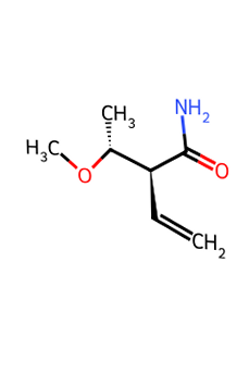 C=C[C@H](C(N)=O)[C@@H](C)OC